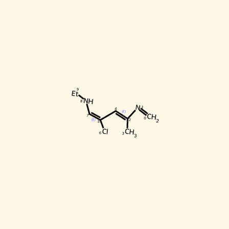 C=N/C(C)=C/C(Cl)=C\NCC